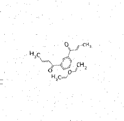 C=COC=C.CC=CC(=O)c1cccc(C(=O)C=CC)c1